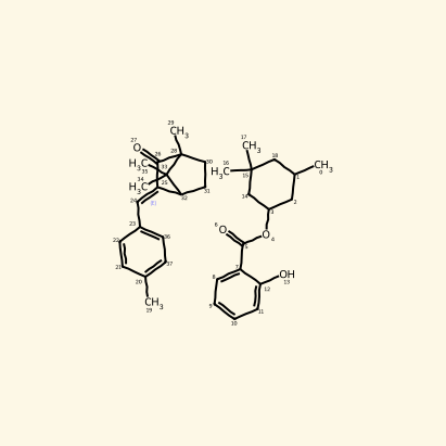 CC1CC(OC(=O)c2ccccc2O)CC(C)(C)C1.Cc1ccc(/C=C2/C(=O)C3(C)CCC2C3(C)C)cc1